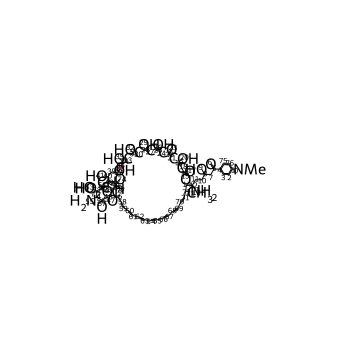 CNc1ccc(C(=O)CC(O)CC[C@H](N)[C@H]2OC(=O)C[C@H](O)CC(=O)C[C@H](O)C[C@H](O)C[C@H](O)C[C@H](O)C[C@]3(O)C[C@H](O)[C@@H](C(=O)O)[C@H](C[C@@H](O[C@@H]4O[C@H](C)[C@@H](O)[C@H](N)[C@@H]4O)/C=C/C=C/C=C/C=C\C=C/C=C/C=C/[C@@H]2C)O3)cc1